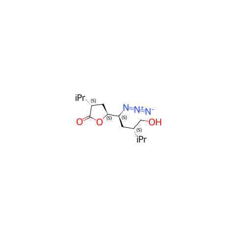 CC(C)[C@@H](CO)C[C@H](N=[N+]=[N-])[C@@H]1C[C@@H](C(C)C)C(=O)O1